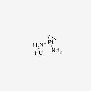 Cl.[NH2][Pt]1([NH2])[CH2][CH2]1